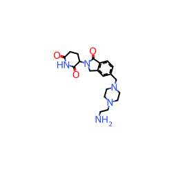 NCCN1CCN(Cc2ccc3c(c2)CN(C2CCC(=O)NC2=O)C3=O)CC1